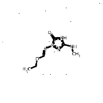 CCOC=Nn1nc(NC)[nH]c1=O